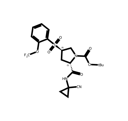 CC(C)(C)OC(=O)N1C[C@H](S(=O)(=O)c2ccccc2OC(F)(F)F)C[C@H]1C(=O)NC1(C#N)CC1